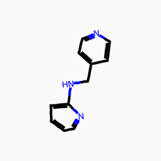 c1ccc(NCc2ccncc2)nc1